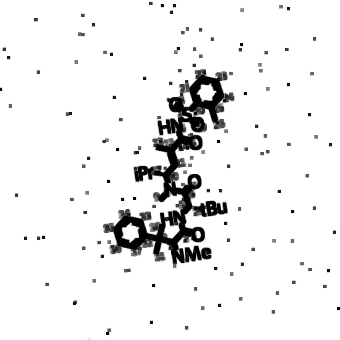 CNC(C(=O)N[C@H](C(=O)N(C)[C@H](/C=C(\C)C(=O)NS(=O)(=O)c1ccccc1C)C(C)C)C(C)(C)C)C(C)(C)c1ccccc1